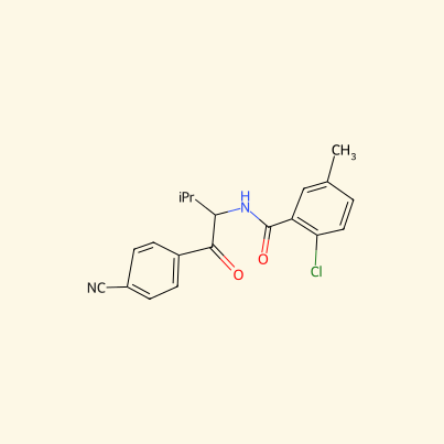 Cc1ccc(Cl)c(C(=O)NC(C(=O)c2ccc(C#N)cc2)C(C)C)c1